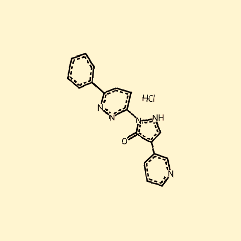 Cl.O=c1c(-c2cccnc2)c[nH]n1-c1ccc(-c2ccccc2)nn1